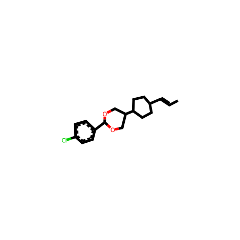 CC=CC1CCC(C2COC(c3ccc(Cl)cc3)OC2)CC1